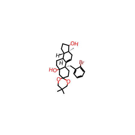 CC1(C)COC2(CC[C@]3(Cc4ccccc4Br)C4=CC[C@]5(C)[C@@H](O)CC[C@H]5[C@@H]4CC[C@@]3(O)C2)OC1